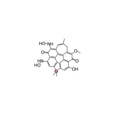 COc1c2c3c4c(c(NO)c(=O)c5c(NO)cc(OC)c(c6c(OC)cc(O)c(c1=O)c63)c54)C=C(C)C2